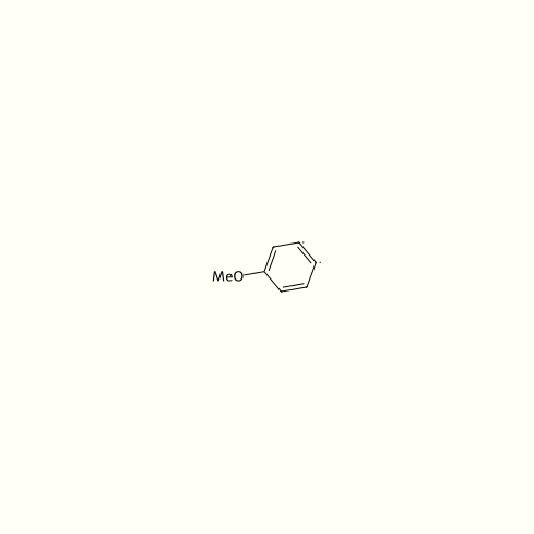 COc1c[c][c]cc1